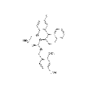 COc1ccc(COC(=O)ON2CCc3ccccc3C2c2cc(Cl)ccc2OCC(=O)O)c(OC)c1